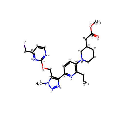 CCc1nc(-c2nnn(C)c2COc2nccc(CI)n2)ccc1N1CCC[C@H](CC(=O)OC)C1